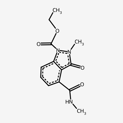 CCOC(=O)n1c2cccc(C(=O)NC)c2c(=O)n1C